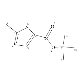 Cc1ccc(C(=O)OC(C)(C)C)s1